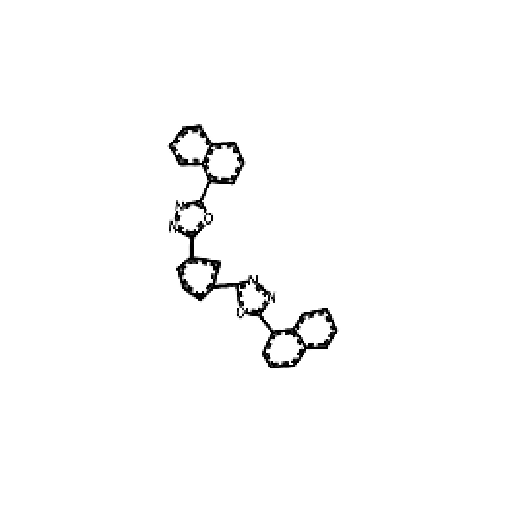 c1cc(-c2nnc(-c3cccc4ccccc34)o2)cc(-c2nnc(-c3cccc4ccccc34)o2)c1